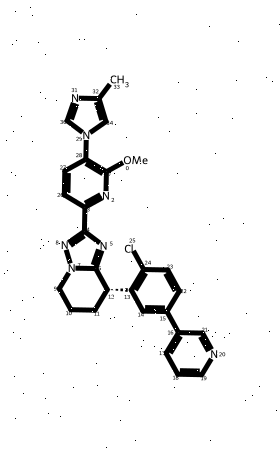 COc1nc(-c2nc3n(n2)CCC[C@H]3c2cc(-c3cccnc3)ccc2Cl)ccc1-n1cnc(C)c1